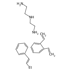 C=Cc1ccccc1C=C.CCC=Cc1ccccc1.NCCNCCN